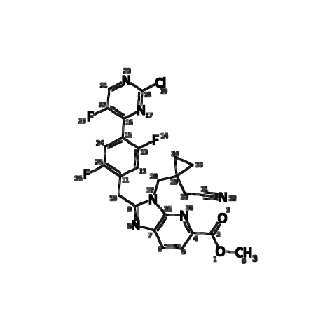 COC(=O)c1ccc2nc(Cc3cc(F)c(-c4nc(Cl)ncc4F)cc3F)n(CC3(CC#N)CC3)c2n1